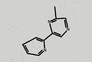 Cc1cncc(-c2ccccn2)n1